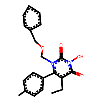 CCc1c(-c2ccc(C)cc2)n(COCc2ccccc2)c(=O)n(O)c1=O